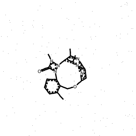 Cc1cccc2c1COc1cc3nc(C)c(c(C)n3n1)-n1n(C)c(=O)n1-2